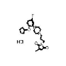 CC1=CC(=O)N(CCCN2CCN(c3cc(F)ccc3OC3CCCC3)CC2)C1=O.Cl